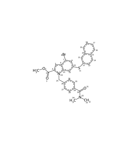 COC(=O)c1cc2c(Br)cc(Sc3ccc4ccccc4c3)cc2n1Cc1ccc(C(=O)N(C)C)cc1